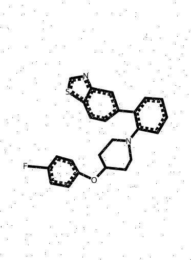 Fc1ccc(OC2CCN(c3ccccc3-c3ccc4scnc4c3)CC2)cc1